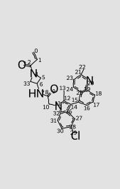 C=CC(=O)N1CC(NC(=O)Cn2c(C)c(-c3cccc4nc(C)ccc34)c3cc(Cl)ccc32)C1